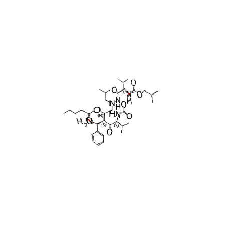 CCCCC(=O)O[C@@H](CN(CC(C)C)NC(=O)[C@@H](NC(=O)OCC(C)C)C(C)C)[C@@H](C(=O)[C@@H](NC(=O)OCC(C)C)C(C)C)C(N)c1ccccc1